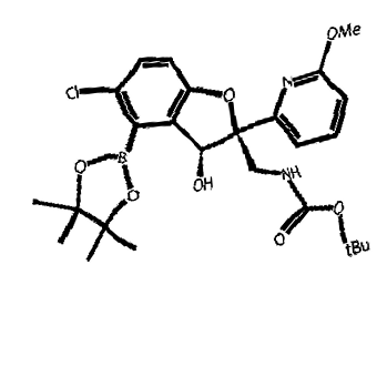 COc1cccc([C@@]2(CNC(=O)OC(C)(C)C)Oc3ccc(Cl)c(B4OC(C)(C)C(C)(C)O4)c3[C@@H]2O)n1